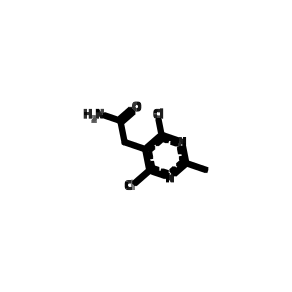 Cc1nc(Cl)c(CC(N)=O)c(Cl)n1